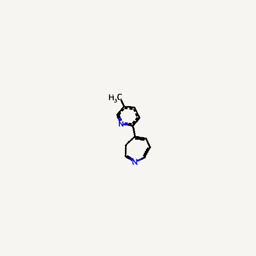 Cc1ccc(C2=CC=CN=CC2)nc1